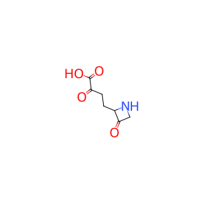 O=C(O)C(=O)CCC1NCC1=O